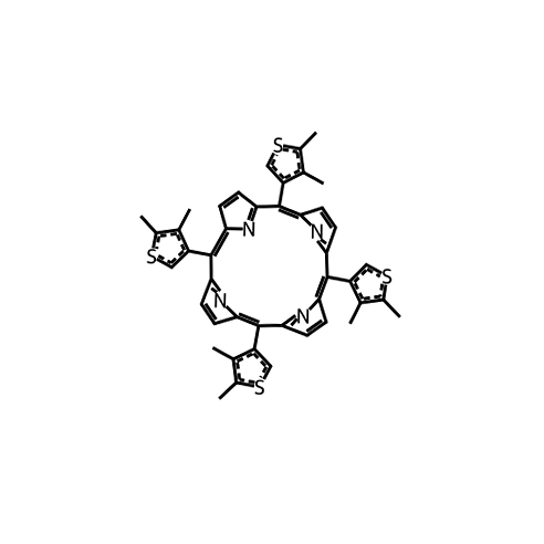 Cc1scc(C2=C3C=CC(=N3)C(c3csc(C)c3C)=C3C=CC(=N3)C(c3csc(C)c3C)=C3C=CC(=N3)C(c3csc(C)c3C)=C3C=CC2=N3)c1C